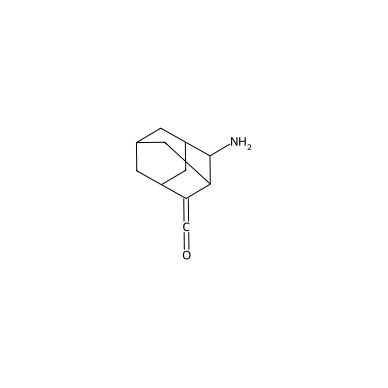 NC1C2CC3CC(C2)C(=C=O)C1C3